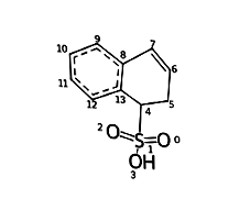 O=S(=O)(O)C1CC=Cc2ccccc21